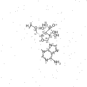 Nc1ncnc2c1ncn2[C@@H]1O[C@H](COP)[C@@](O)(P(=O)(O)O)[C@@H]1O